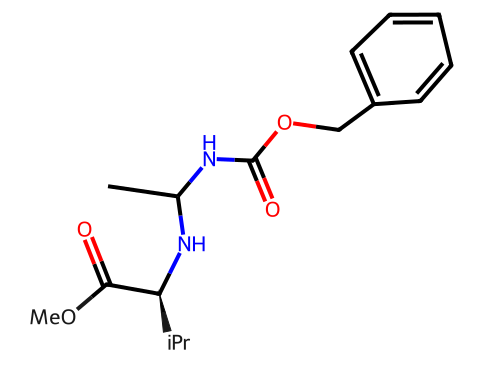 COC(=O)[C@@H](NC(C)NC(=O)OCc1ccccc1)C(C)C